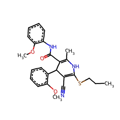 CCCSC1=C(C#N)C(c2ccccc2OC)C(C(=O)Nc2ccccc2OC)=C(C)N1